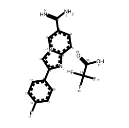 N=C(N)c1ccc2nc(-c3ccc(F)cc3)cn2c1.O=C(O)C(F)(F)F